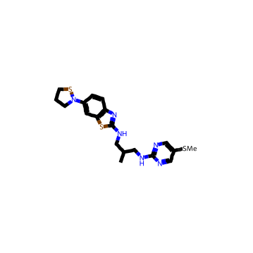 CSc1cnc(NCC(C)CNc2nc3ccc(N4CCCS4)cc3s2)nc1